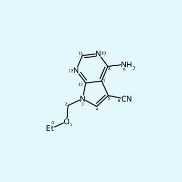 CCOCn1cc(C#N)c2c(N)ncnc21